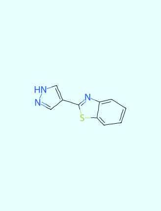 c1ccc2sc(-c3cn[nH]c3)nc2c1